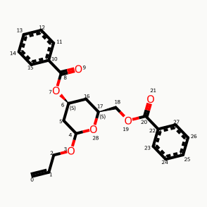 C=CCOC1C[C@@H](OC(=O)c2ccccc2)C[C@@H](COC(=O)c2ccccc2)O1